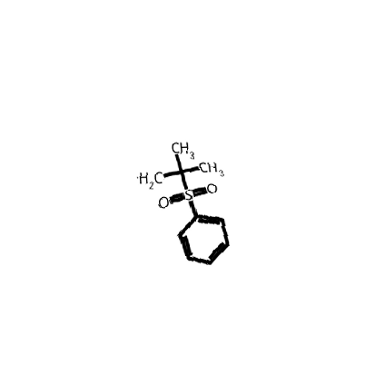 [CH2]C(C)(C)S(=O)(=O)c1ccccc1